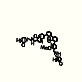 COc1nc(-c2cccc(-c3cccc(-c4ccn5c(=O)c(CNCCN6CCNC(=O)C6)cnc5c4)c3Cl)c2Cl)ccc1CNC[C@H]1CCC(=O)N1